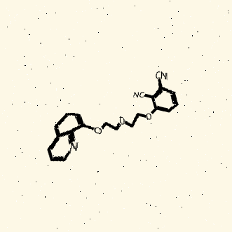 N#Cc1cccc(OCCOCCOc2cccc3cccnc23)c1C#N